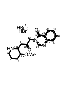 Br.Br.COC1CCCNC1CC(=O)Cn1cnc2ccccc2c1=O